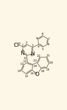 Clc1cc(-c2ccccc2)nc(-c2cccc3oc4ccccc4c23)n1